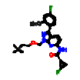 COc1cc(F)ccc1-c1nn(COCC[Si](C)(C)C)c2nc(NC(=O)[C@@H]3C[C@@H]3F)ccc12